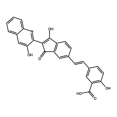 O=C(O)c1cc(/C=C/c2ccc3c(c2)C(=O)C(c2nc4ccccc4cc2O)=C3O)ccc1O